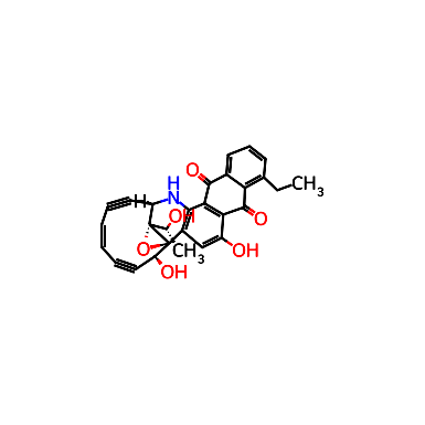 CCc1cccc2c1C(=O)c1c(O)cc3c(c1C2=O)N[C@H]1C#C/C=C\C#C[C@H](O)[C@@]32O[C@@]12[C@@H](C)O